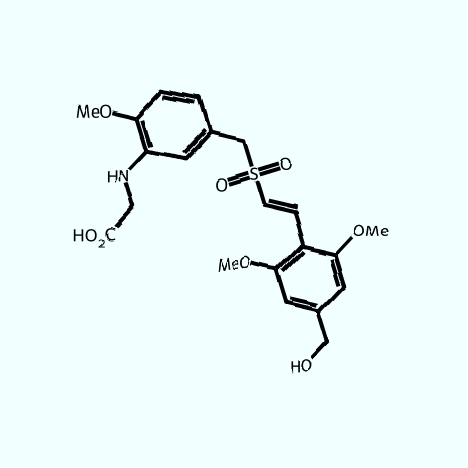 COc1ccc(CS(=O)(=O)/C=C/c2c(OC)cc(CO)cc2OC)cc1NCC(=O)O